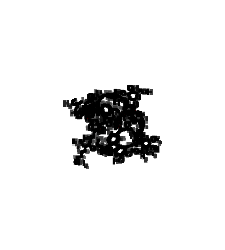 CC(C)C[C@H](C(=O)N[C@H]1C(=O)N[C@@H](CC(N)=O)C(=O)N[C@H]2C(=O)N[C@H]3C(=O)N[C@H](C(=O)N[C@H](C(=O)O)c4cc(O)cc(O)c4-c4cc3ccc4O)[C@H](O[C@H]3C[C@](C)(N)[C@@H](O)[C@H](C)O3)c3ccc(c(Cl)c3)Oc3cc2cc(c3O[C@@H]2O[C@H](CO)[C@@H](O)[C@H](O)[C@H]2O[C@H]2C[C@](C)(NCc3ccc(-c4ccc(Cl)cc4)cc3)[C@@H](O)[C@H](C)O2)Oc2ccc(cc2Cl)[C@H]1O)N(C)C(=O)OCOC(=O)[C@H](CCCCN)NC(=O)[C@H](N)CCCCN